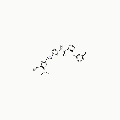 CC(C)n1cc(/C=C/c2csc(NC(=O)c3cccn3Cc3ccnc(F)c3)n2)nc1C#N